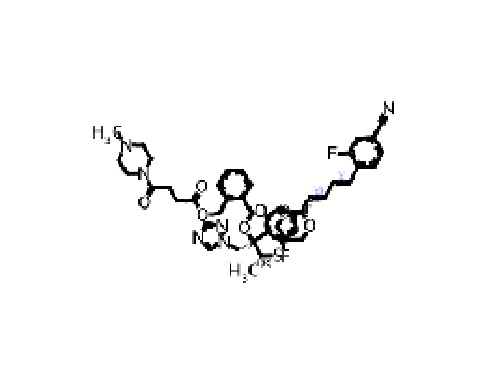 C[C@@H](S[C@H]1CO[C@H](/C=C/C=C/c2ccc(C#N)cc2F)OC1)[C@@](Cn1cncn1)(OC(=O)c1ccccc1COC(=O)CCC(=O)N1CCN(C)CC1)c1ccc(F)cc1F